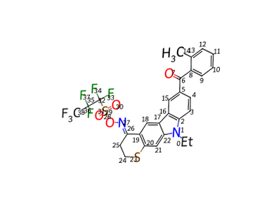 CCn1c2ccc(C(=O)c3ccccc3C)cc2c2cc3c(cc21)SCC/C3=N\OS(=O)(=O)C(F)(F)C(F)(F)C(F)(F)F